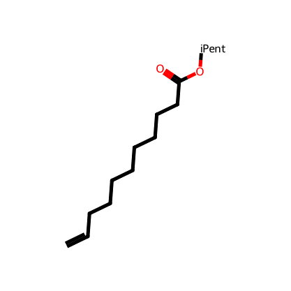 C=CCCCCCCCCC(=O)OC(C)CCC